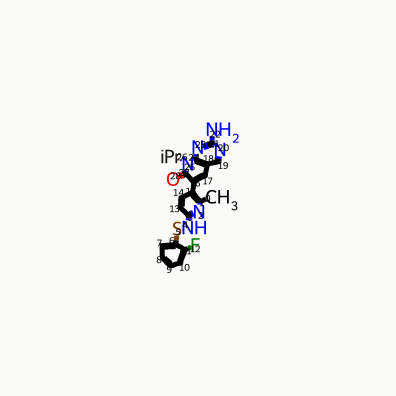 Cc1nc(NSc2ccccc2F)ccc1-c1cc2cnc(N)nc2n(C(C)C)c1=O